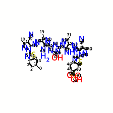 Cc1ccc2nc(-n3nc(C)c(C#N)c3N=Nc3c(C)nn(-c4nc(O)nc(-n5nc(C)c(N=Nc6c(C#N)c(C)nn6-c6nc7ccc(S(=O)(=O)O)cc7s6)c5N)n4)c3N)sc2c1